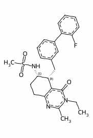 CCn1c(C)nc2c(c1=O)[C@@H](Cc1cccc(-c3ccccc3F)c1)[C@@H](NS(C)(=O)=O)CC2